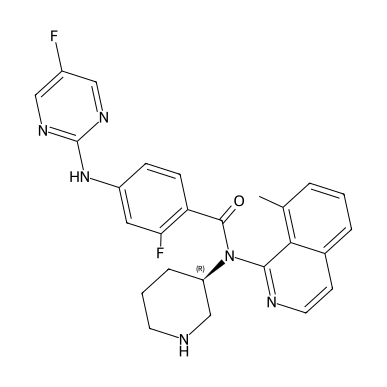 Cc1cccc2ccnc(N(C(=O)c3ccc(Nc4ncc(F)cn4)cc3F)[C@@H]3CCCNC3)c12